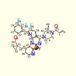 C=CC(=O)N1C[C@H](C)N(c2nc(=O)n3c4nc(c(F)cc24)-c2c(ccc(F)c2F)OCC2(CC2)Cc2ccnc(C(C)C)c2-3)C[C@H]1C